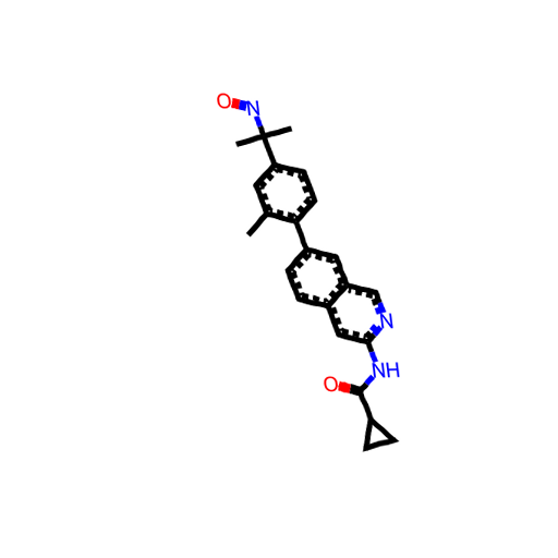 Cc1cc(C(C)(C)N=O)ccc1-c1ccc2cc(NC(=O)C3CC3)ncc2c1